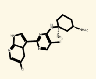 CC(=O)N[C@@H]1CCC[C@](N)(Nc2nc(C3=CNC4=NC=C(Cl)CC34)ncc2F)C1